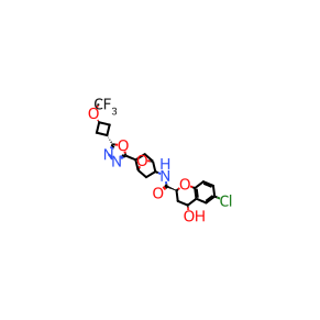 O=C(NC1CC2OC1CC2c1nnc([C@H]2C[C@@H](OC(F)(F)F)C2)o1)[C@@H]1C[C@H](O)c2cc(Cl)ccc2O1